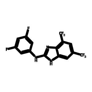 Fc1cc(F)cc(Nc2nc3c(C(F)(F)F)cc(C(F)(F)F)cc3[nH]2)c1